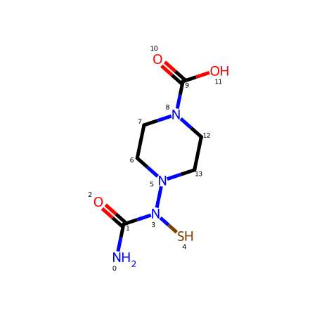 NC(=O)N(S)N1CCN(C(=O)O)CC1